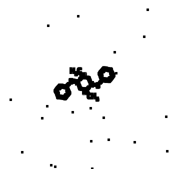 C[C@@H]1CN(Sc2ccccc2)[C@@H](C)CN1Sc1ccccc1